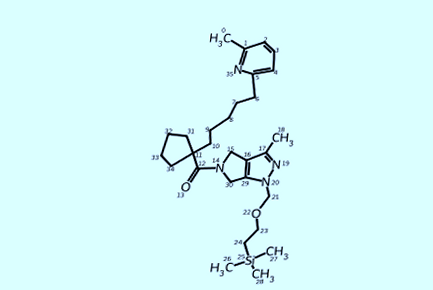 Cc1cccc(CCCCCC2(C(=O)N3Cc4c(C)nn(COCC[Si](C)(C)C)c4C3)CCCC2)n1